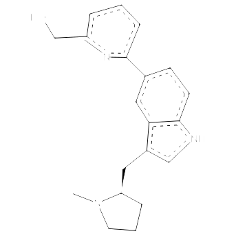 CN1CCC[C@@H]1Cc1c[nH]c2ccc(-c3cccc(CO)n3)cc12